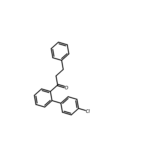 O=C(CCc1ccccc1)c1ccccc1-c1ccc(Cl)cc1